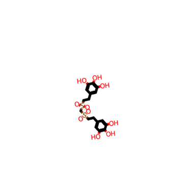 O=S(=O)(CCc1cc(O)c(O)c(O)c1)CS(=O)(=O)CCc1cc(O)c(O)c(O)c1